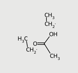 CC(=O)O.[CH2]C.[CH2]C